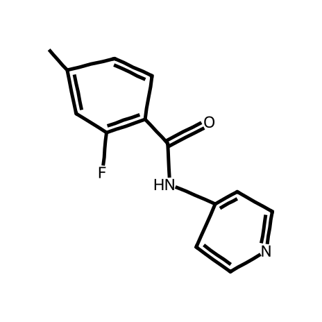 Cc1ccc(C(=O)Nc2ccncc2)c(F)c1